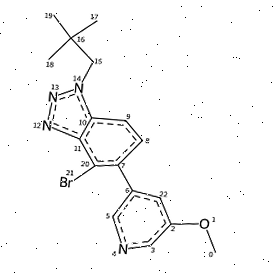 COc1cncc(-c2ccc3c(nnn3CC(C)(C)C)c2Br)c1